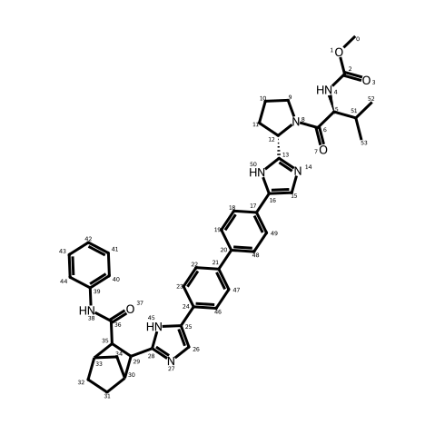 COC(=O)N[C@H](C(=O)N1CCC[C@H]1c1ncc(-c2ccc(-c3ccc(-c4cnc(C5C6CCC(C6)C5C(=O)Nc5ccccc5)[nH]4)cc3)cc2)[nH]1)C(C)C